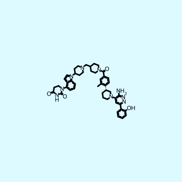 Cc1cc(C(=O)N2CCC(CN3CCC(n4ccc5c(N6CCC(=O)NC6=O)cccc54)CC3)CC2)ccc1[C@H]1CCCN(c2cc(-c3ccccc3O)nnc2N)C1